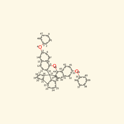 c1ccc(Oc2ccc3c4c(ccc3c2)C2(c3ccccc3-c3ccccc32)c2ccc3cc(Oc5ccccc5)ccc3c2O4)cc1